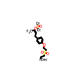 CCCCCCCCCCCCS(=O)(=O)CCOc1ccc(C/C=C(/OP(=O)(CC)CC)C(F)(F)F)cc1